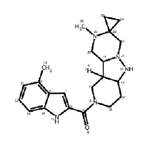 [2H]C12CN(C(=O)c3cc4c(C)cccc4[nH]3)CCC1NN1CC3(CC3)N(C)CC12